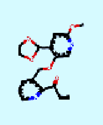 C=CC(=O)c1ncccc1COc1cnc(OC)cc1C1OCCO1